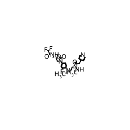 CCN(CCN(NC)C(=O)Cc1ccncc1)c1ccc(N2C[C@H](CNC(=O)C(F)F)OC2=O)cc1F